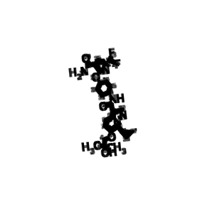 CC(C)(O)COc1ccc2c(C(=O)N[C@H]3CC[C@H](Oc4nn(C(F)F)cc4C(N)=O)CC3)cnn2c1C1CC1